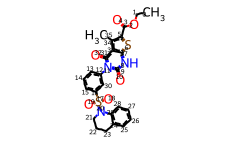 CCOC(=O)c1sc2[nH]c(=O)n(-c3cccc(S(=O)(=O)N4CCCc5ccccc54)c3)c(=O)c2c1C